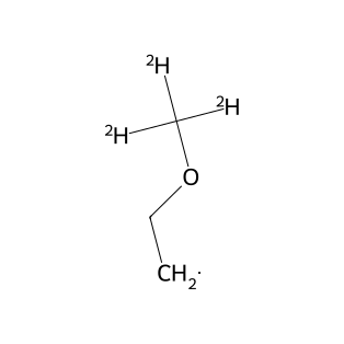 [2H]C([2H])([2H])OC[CH2]